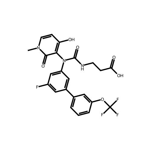 Cn1ccc(O)c(N(C(=O)NCCC(=O)O)c2cc(F)cc(-c3cccc(OC(F)(F)F)c3)c2)c1=O